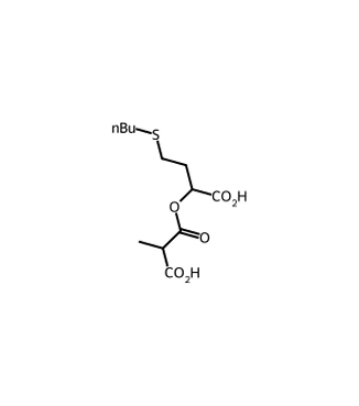 CCCCSCCC(OC(=O)C(C)C(=O)O)C(=O)O